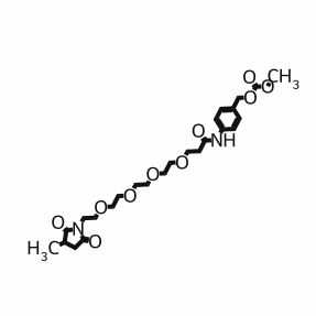 COC(=O)OCc1ccc(NC(=O)CCOCCOCCOCCOCCN2C(=O)CC(C)C2=O)cc1